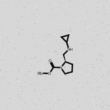 CC(C)(C)OC(=O)N1CCC[C@@H]1CNC1CC1